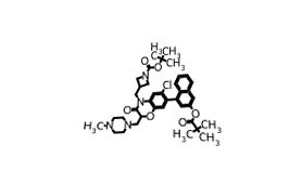 CN1CCN(CC2Oc3cc(-c4cc(OC(=O)C(C)(C)C)cc5ccccc45)c(Cl)cc3N(CC3CN(C(=O)OC(C)(C)C)C3)C2=O)CC1